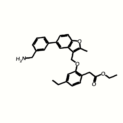 CCOC(=O)Cc1ccc(CC)cc1OCc1c(C)oc2ccc(-c3cccc(CN)c3)cc12